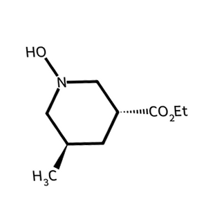 CCOC(=O)[C@@H]1C[C@@H](C)CN(O)C1